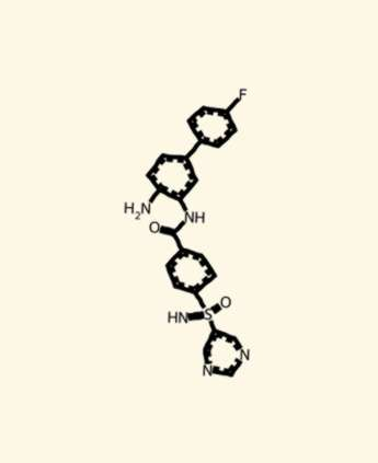 N=S(=O)(c1ccc(C(=O)Nc2cc(-c3ccc(F)cc3)ccc2N)cc1)c1cncnc1